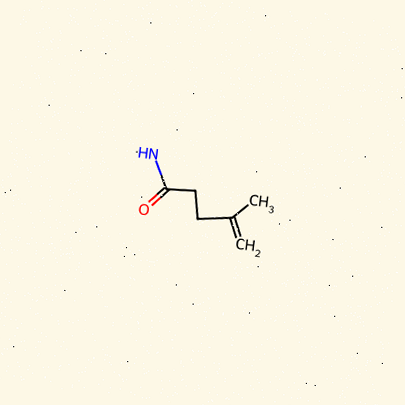 C=C(C)CCC([NH])=O